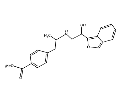 COC(=O)c1ccc(CC(C)NCC(O)c2occ3ccccc23)cc1